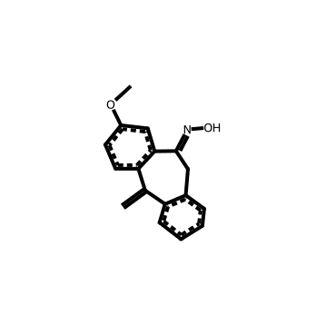 C=C1c2ccccc2CC(=NO)c2cc(OC)ccc21